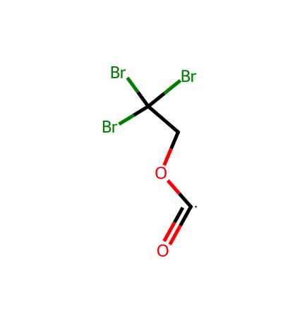 O=[C]OCC(Br)(Br)Br